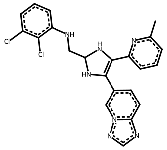 Cc1cccc(C2=C(c3ccc4ncnn4c3)NC(CNc3cccc(Cl)c3Cl)N2)n1